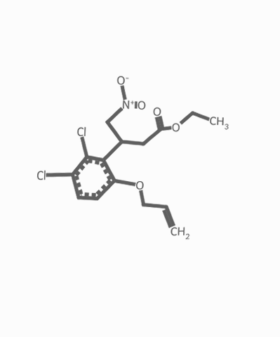 C=CCOc1ccc(Cl)c(Cl)c1C(CC(=O)OCC)C[N+](=O)[O-]